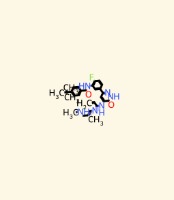 C=C/C(=N\C=C(/C)CNC)Nc1cc(-c2ccc(F)c(NC(=O)c3ccc(C(C)(C)C)cc3)c2)n[nH]c1=O